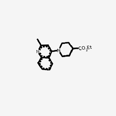 CCOC(=O)C1CCN(c2cc(C)nc3ccccc23)CC1